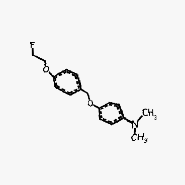 CN(C)c1ccc(OCc2ccc(OCCF)cc2)cc1